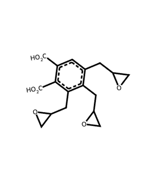 O=C(O)c1cc(CC2CO2)c(CC2CO2)c(CC2CO2)c1C(=O)O